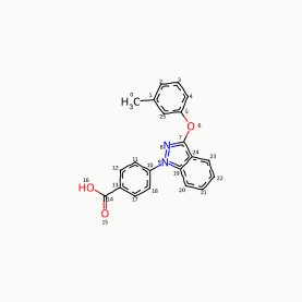 Cc1cccc(Oc2nn(-c3ccc(C(=O)O)cc3)c3ccccc23)c1